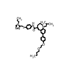 CCCCOCCOc1ccc(-c2ccc3c(c2)C=C(C(=O)Nc2ccc(SCc4nncn4CCC)cc2)CCCN3CC(C)C)cc1